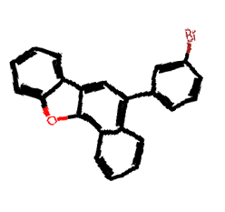 Brc1cccc(-c2cc3c4ccccc4oc3c3ccccc23)c1